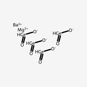 [Ba+2].[Mg+2].[O]=[GeH][O-].[O]=[GeH][O-].[O]=[GeH][O-].[O]=[GeH][O-]